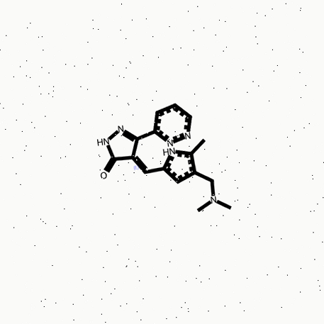 Cc1[nH]c(/C=C2/C(=O)NN=C2c2cccnn2)cc1CN(C)C